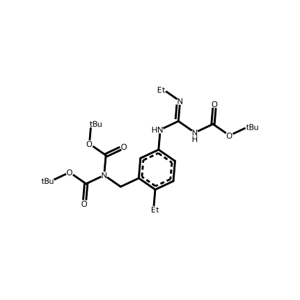 CC/N=C(/NC(=O)OC(C)(C)C)Nc1ccc(CC)c(CN(C(=O)OC(C)(C)C)C(=O)OC(C)(C)C)c1